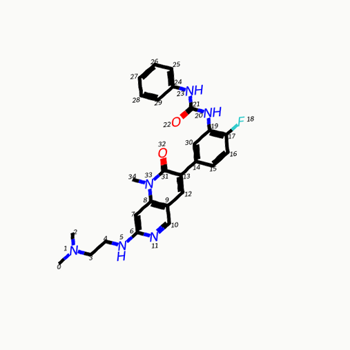 CN(C)CCNc1cc2c(cn1)cc(-c1ccc(F)c(NC(=O)Nc3ccccc3)c1)c(=O)n2C